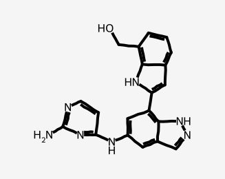 Nc1nccc(Nc2cc(-c3cc4cccc(CO)c4[nH]3)c3[nH]ncc3c2)n1